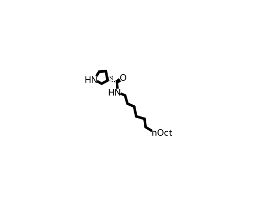 CCCCCCCCCCCCCCNC(=O)[C@H]1CCNC1